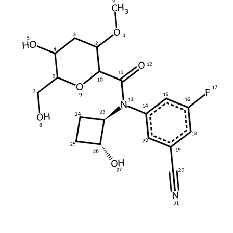 COC1CC(O)C(CO)OC1C(=O)N(c1cc(F)cc(C#N)c1)[C@@H]1CC[C@H]1O